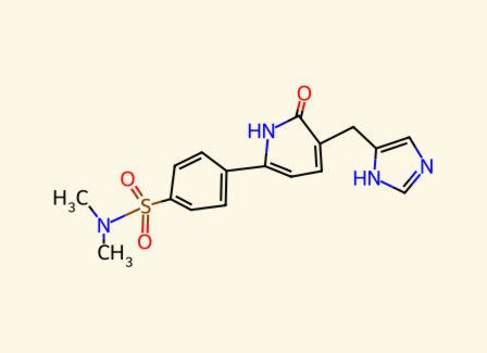 CN(C)S(=O)(=O)c1ccc(-c2ccc(Cc3cnc[nH]3)c(=O)[nH]2)cc1